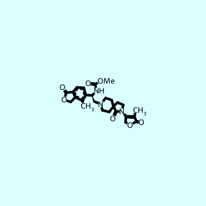 COC(=O)N[C@@H](CN1CCC2(CC1)CCN(C1=C(C)C(=O)OC1)C2=O)c1ccc2c(c1C)COC2=O